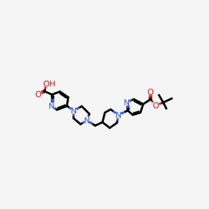 CC(C)(C)OC(=O)c1ccc(N2CCC(CN3CCN(c4ccc(C(=O)O)nc4)CC3)CC2)nc1